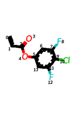 C=CC(=O)Oc1cc(F)c(Cl)c(F)c1